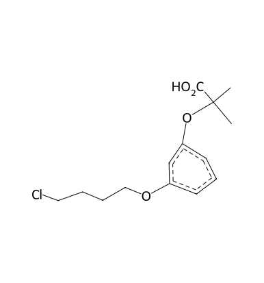 CC(C)(Oc1cccc(OCCCCCl)c1)C(=O)O